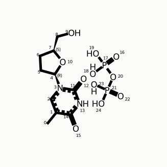 Cc1cn([C@H]2CC[C@@H](CO)O2)c(=O)[nH]c1=O.O=P(O)(O)OP(=O)(O)O